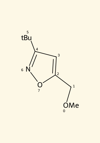 COCc1cc(C(C)(C)C)no1